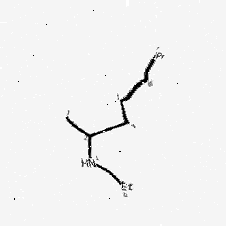 CCNC(C)CCCC(C)C